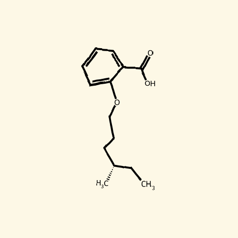 CC[C@H](C)CCCOc1ccccc1C(=O)O